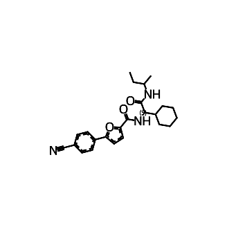 CCC(C)NC(=O)[C@@H](NC(=O)c1ccc(-c2ccc(C#N)cc2)o1)C1CCCCC1